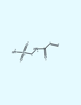 C=CC(=O)NCS(=O)(=O)CCC